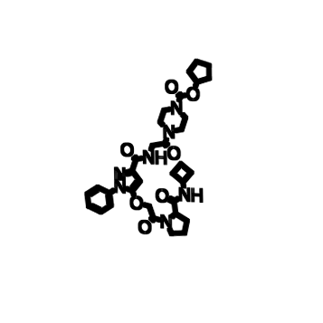 O=C(NCC(=O)N1CCN(C(=O)OC2CCCC2)CC1)c1cc(OCC(=O)N2CCCC2C(=O)NC2CCC2)n(-c2ccccc2)n1